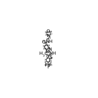 Cn1c(Nc2nc3ccc(C(F)(F)F)cc3s2)nc2cc(C(=O)NCCN3CCOCC3)ccc21